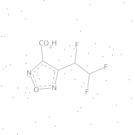 O=C(O)c1nonc1C(F)C(F)F